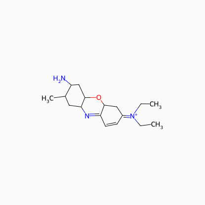 CC[N+](CC)=C1C=CC2=NC3CC(C)C(N)CC3OC2C1